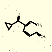 C=C/C=C\C(=C/C)C(=O)C1CC1